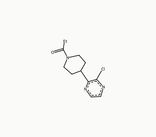 CCC(=O)N1CCC(c2nccnc2Cl)CC1